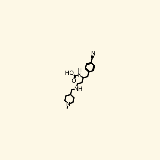 CN1CCC(CNCCC(Cc2ccc(C#N)cc2)NC(=O)O)CC1